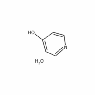 O.Oc1ccncc1